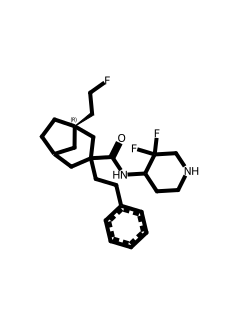 O=C(NC1CCNCC1(F)F)C1(CCc2ccccc2)CC2CC[C@@](CCF)(C2)C1